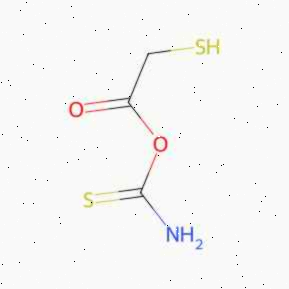 NC(=S)OC(=O)CS